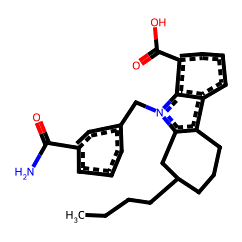 CCCCC1CCCc2c(n(Cc3cccc(C(N)=O)c3)c3c(C(=O)O)cccc23)C1